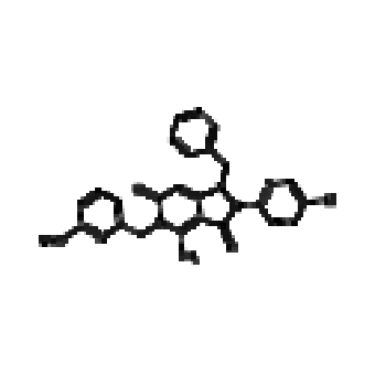 COc1cccc(Cn2c(C)c3c(=O)n(-c4ccc(Cl)cn4)n(Cc4ccccc4)c3cc2=O)n1